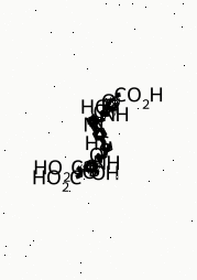 O=C(O)CC(C(=O)O)[C@@H]1CC[C@H](NC(=O)CC2=C[SH](c3ccc(-c4nccn4CC(=O)N[C@H]4CC[C@@H](CC(=O)O)OB4O)cc3)C=C2)B(O)O1